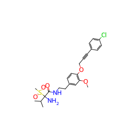 COc1cc(CCNC(=O)C(N)(C(C)C)S(C)(=O)=O)ccc1OCC#Cc1ccc(Cl)cc1